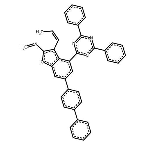 C=Nc1oc2cc(-c3ccc(-c4ccccc4)cc3)cc(-c3nc(-c4ccccc4)nc(-c4ccccc4)n3)c2c1/C=C\C